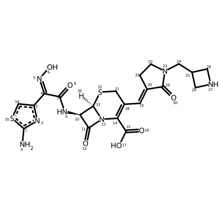 Nc1nc(/C(=N/O)C(=O)N[C@@H]2C(=O)N3C(C(=O)O)=C(/C=C4\CCN(CC5CNC5)C4=O)CS[C@H]23)cs1